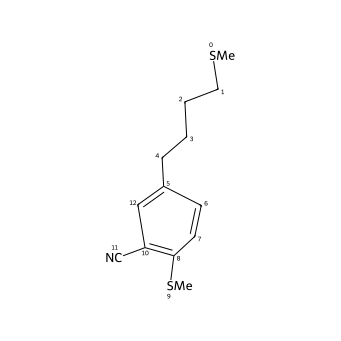 CSCCCCc1ccc(SC)c(C#N)c1